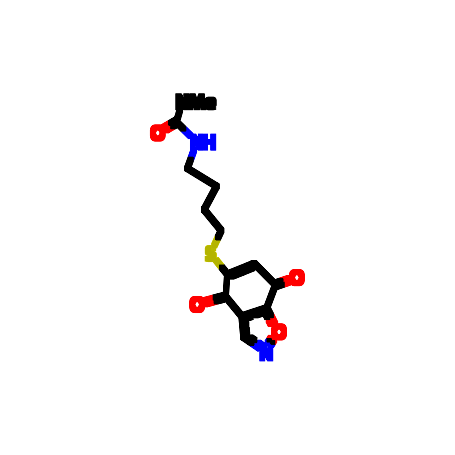 CNC(=O)NCCCCSC1=CC(=O)c2oncc2C1=O